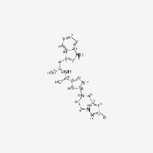 CCCCC(Cc1c[nH]c2ccccc12)NC(=O)c1cnc(N2CCn3nc(C)cc3C2)s1